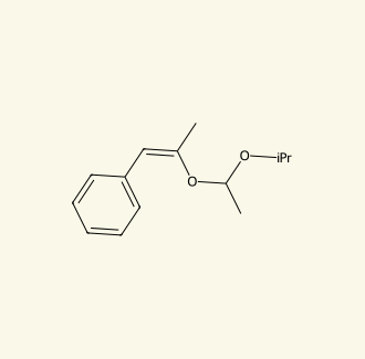 CC(=Cc1ccccc1)OC(C)OC(C)C